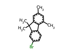 Cc1cc(C)c2c(c1)C(C)(C)c1cc(Br)ccc1-2